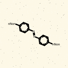 CCCCCCCCCc1ccc(/N=N/c2ccc(CCCCCCCCC)cc2)cc1